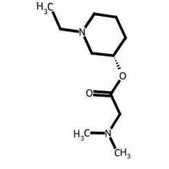 CCN1CCC[C@H](OC(=O)CN(C)C)C1